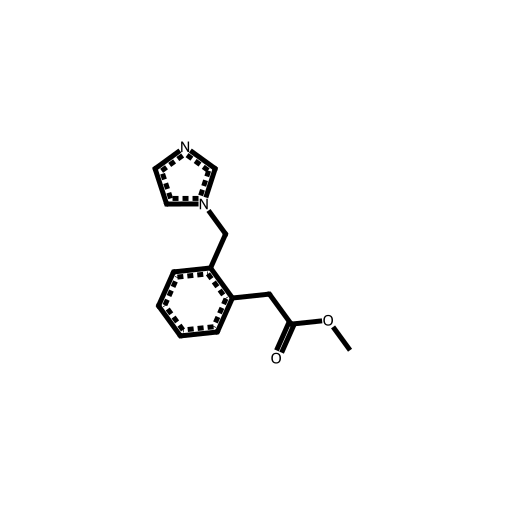 COC(=O)Cc1ccccc1Cn1ccnc1